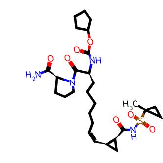 CC1(S(=O)(=O)NC(=O)[C@H]2C[C@H]2/C=C\CCCCC[C@H](NC(=O)OC2CCCC2)C(=O)N2CCC[C@H]2C(N)=O)CC1